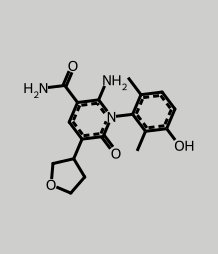 Cc1ccc(O)c(C)c1-n1c(N)c(C(N)=O)cc(C2CCOC2)c1=O